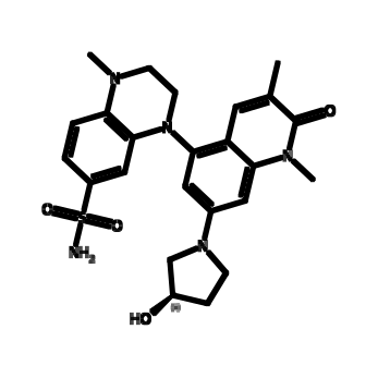 Cc1cc2c(N3CCN(C)c4ccc(S(N)(=O)=O)cc43)cc(N3CC[C@@H](O)C3)cc2n(C)c1=O